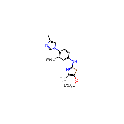 CCOC(=O)Oc1sc(Nc2ccc(-n3cnc(C)c3)c(OC)c2)nc1C(F)(F)F